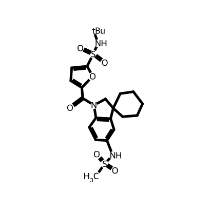 CC(C)(C)NS(=O)(=O)c1ccc(C(=O)N2CC3(CCCCC3)c3cc(NS(C)(=O)=O)ccc32)o1